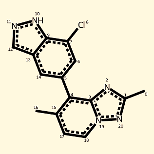 Cc1nc2c(-c3cc(Cl)c4[nH]ncc4c3)c(C)ccn2n1